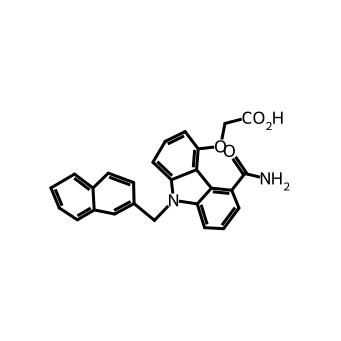 NC(=O)c1cccc2c1c1c(OCC(=O)O)cccc1n2Cc1ccc2ccccc2c1